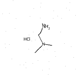 CN(C)CN.Cl